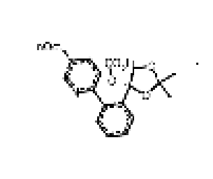 CCCCCCCCc1ccc(-c2ccccc2[C@@]2(OC(=O)O)COC(C)(C)O2)nc1